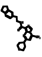 Cc1cc(C2CCOCC2)nc2c(C(=O)NCCc3ccc4c(c3)CCC4)ncn12